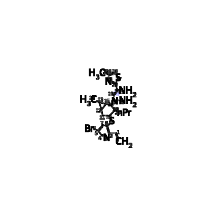 C=Cc1ncc(Br)cc1SC1CC2C(C)C2C(N(N)/C=C(\N)c2nc(C)cs2)C1CCC